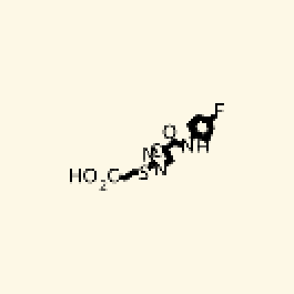 O=C(O)CCSc1ncc(C(=O)Nc2ccc(F)cc2)cn1